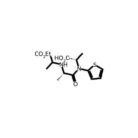 CCOC(=O)C(C)N[C@@H](C)C(=O)N(c1cccs1)[C@@H](C)C(=O)O